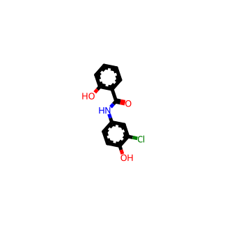 O=C(Nc1ccc(O)c(Cl)c1)c1ccccc1O